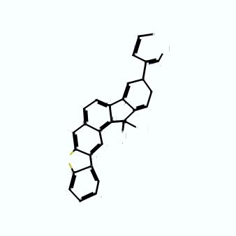 C/C=C\C(=C/C)C1C=C2C(=CC1)C(C)(C)c1c2ccc2cc3sc4ccccc4c3cc12